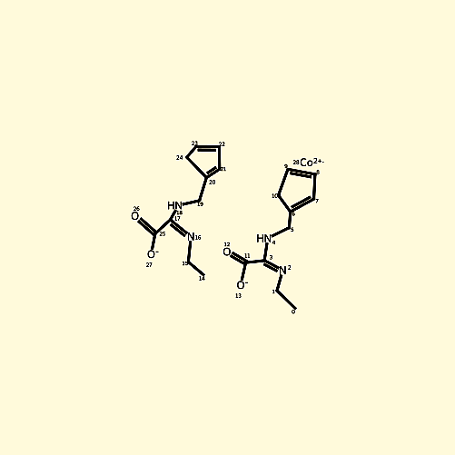 CCN=C(NCC1=CC=CC1)C(=O)[O-].CCN=C(NCC1=CC=CC1)C(=O)[O-].[Co+2]